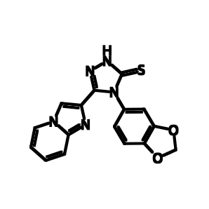 S=c1[nH]nc(-c2cn3ccccc3n2)n1-c1ccc2c(c1)OCO2